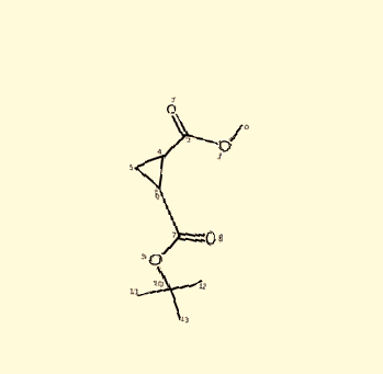 COC(=O)C1CC1C(=O)OC(C)(C)C